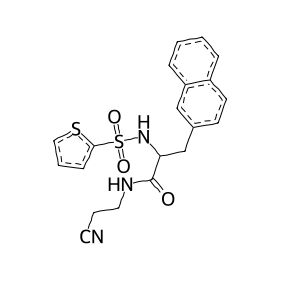 N#CCCNC(=O)C(Cc1ccc2ccccc2c1)NS(=O)(=O)c1cccs1